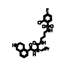 CC(C)C[C@H](NC(=O)c1cccc2c1CCNC2)C(=O)NCCCNS(=O)(=O)c1ccc(F)cc1Cl